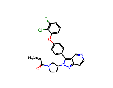 C=CC(=O)N1CCC(n2nc3ccncc3c2-c2ccc(Oc3cccc(F)c3Cl)cc2)C1